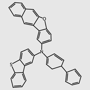 C1=CC(c2ccccc2)CC=C1N(c1ccc2oc3cc4ccccc4cc3c2c1)c1ccc2sc3ccccc3c2c1